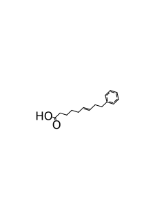 O=C(O)CCCCC=CCCc1ccccc1